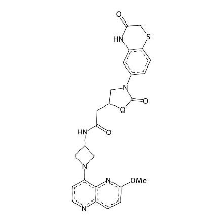 COc1ccc2nccc(N3CC(NC(=O)CC4CN(c5ccc6c(c5)NC(=O)CS6)C(=O)O4)C3)c2n1